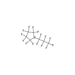 FC(F)(F)C(F)(F)C(F)(F)N1C(F)(F)C(F)(F)C(F)(F)C1(F)F